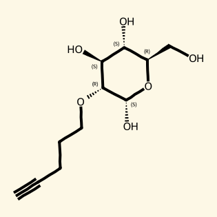 C#CCCCO[C@@H]1[C@@H](O)[C@H](O)[C@@H](CO)O[C@@H]1O